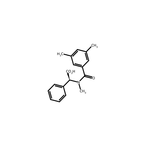 Cc1cc(C)cc(C(=O)N(C)[C@H](C(=O)O)c2ccccc2)c1